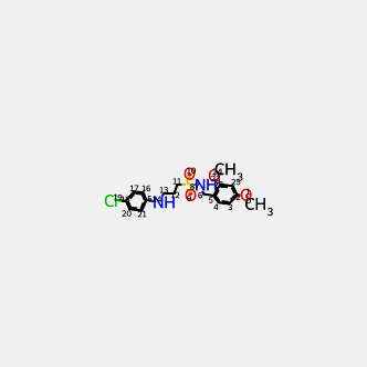 COc1ccc(CNS(=O)(=O)CCCNc2ccc(Cl)cc2)c(OC)c1